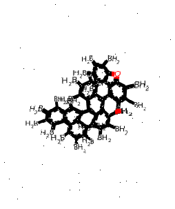 Bc1c(B)c(B)c2c(oc3c(B)c(B)c(B)c(-c4c5c(B)c(B)c(B)c(B)c5c(-c5c(B)c6c(B)c(B)c(B)c(B)c6c6c(B)c(B)c(B)c(B)c56)c5c(B)c(B)c(B)c(B)c45)c32)c1B